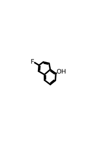 Oc1cccc2cc(F)ccc12